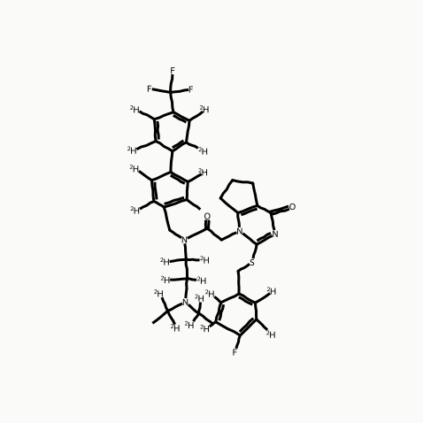 [2H]c1c([2H])c(CSc2nc(=O)c3c(n2CC(=O)N(Cc2c([2H])c([2H])c(-c4c([2H])c([2H])c(C(F)(F)F)c([2H])c4[2H])c([2H])c2C)C([2H])([2H])C([2H])([2H])N(C([2H])([2H])C)C([2H])([2H])C)CCC3)c([2H])c([2H])c1F